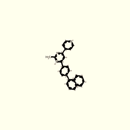 Cc1nc(-c2ccncc2)cc(-c2ccc(-c3cccc4ccccc34)cc2)n1